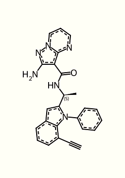 C#Cc1cccc2cc([C@H](C)NC(=O)c3c(N)nn4cccnc34)n(-c3ccccc3)c12